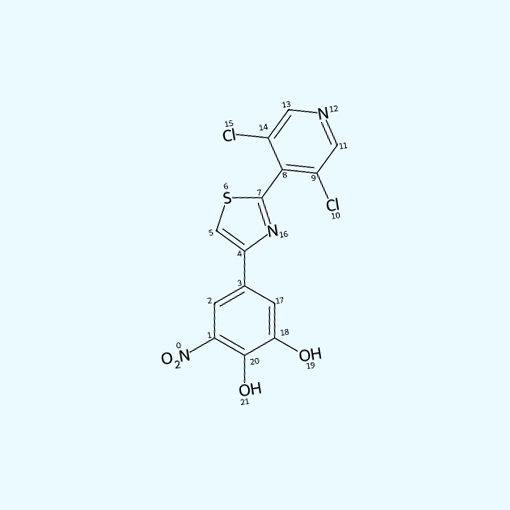 O=[N+]([O-])c1cc(-c2csc(-c3c(Cl)cncc3Cl)n2)cc(O)c1O